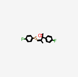 CC(=CSc1ccc(F)cc1)C1(c2ccc(F)cc2)CO1